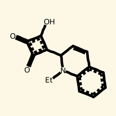 CCN1c2ccccc2C=CC1c1c(O)c(=O)c1=O